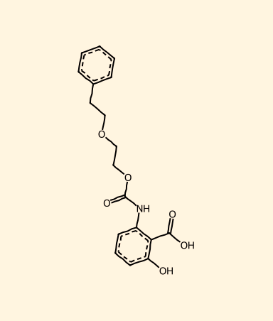 O=C(Nc1cccc(O)c1C(=O)O)OCCOCCc1ccccc1